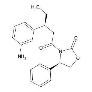 CC[C@@H](CC(=O)N1C(=O)OC[C@H]1c1ccccc1)c1cccc(N)c1